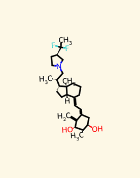 C=C1/C(=C\C=C2/CCC[C@]3(C)[C@@H]([C@H](C)CN4CC[C@@H](C(C)(F)F)C4)CC[C@@H]23)C[C@@H](O)[C@H](C)[C@@H]1O